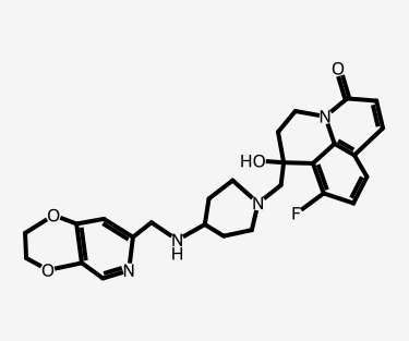 O=c1ccc2ccc(F)c3c2n1CCC3(O)CN1CCC(NCc2cc3c(cn2)OCCO3)CC1